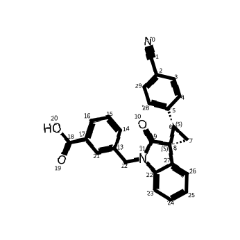 N#Cc1ccc([C@@H]2C[C@]23C(=O)N(Cc2cccc(C(=O)O)c2)c2ccccc23)cc1